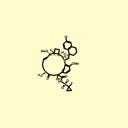 COc1ccc2cc1N(C[C@]1(C)CCCc3cc(Cl)ccc31)C[C@@H]1CC[C@H]1[C@@H](OC)/C=C/CCN(C)C(=O)CC2(O)C(=O)NS(=O)(=O)C1(F)CC1